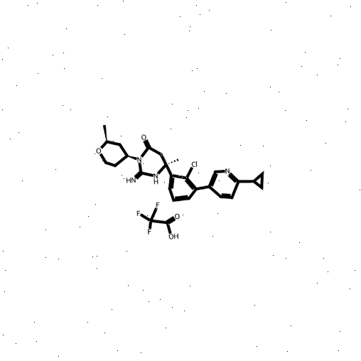 C[C@H]1C[C@@H](N2C(=N)N[C@](C)(c3cccc(-c4ccc(C5CC5)nc4)c3Cl)CC2=O)CCO1.O=C(O)C(F)(F)F